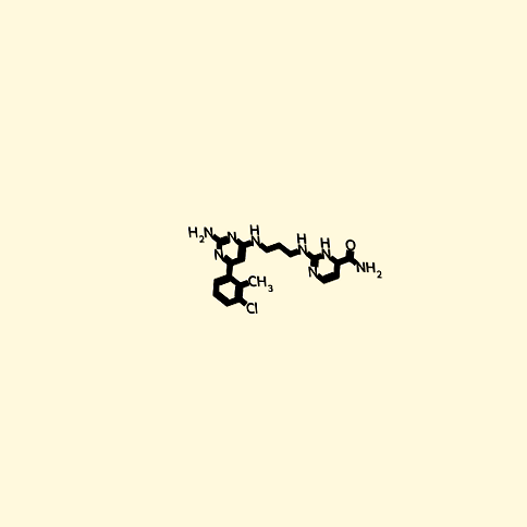 Cc1c(Cl)cccc1-c1cc(NCCCNC2=NC=CC(C(N)=O)N2)nc(N)n1